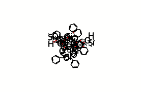 C[SiH](C)O[Si](C)(C)O[Si]1(C)O[Si]2(c3ccccc3)O[Si]3(c4ccccc4)O[Si]4(c5ccccc5)O[Si](C)(O[Si](C)(C)O[SiH](C)C)O[Si]5(c6ccccc6)O[Si](c6ccccc6)(O[Si](c6ccccc6)(O1)O[Si](c1ccccc1)(O5)O[Si](c1ccccc1)(O2)O4)O3